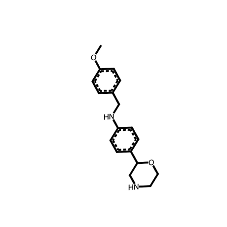 COc1ccc(CNc2ccc(C3CNCCO3)cc2)cc1